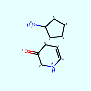 NC1CCCC1.O=C1CC=CNC1